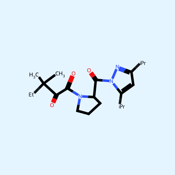 CCC(C)(C)C(=O)C(=O)N1CCCC1C(=O)n1nc(C(C)C)cc1C(C)C